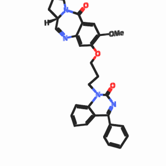 COc1cc2c(cc1OCCCn1c(=O)nc(-c3ccccc3)c3ccccc31)N=C[C@@H]1CCCN1C2=O